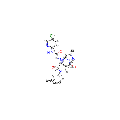 CCc1cc2n(CC(=O)Nc3ccc(F)cn3)c3c(c(=O)n2n1)CN(C(COC)COC)C3=O